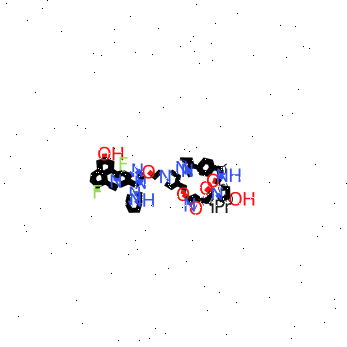 C#Cc1c(F)ccc2cc(O)cc(-c3ncc4c(N5CC6CCC(C5)N6)nc(OCCN5CCC(COc6cc([C@@H](C(=O)N7C[C@H](O)C[C@H]7C(=O)N[C@@H](C)c7ccc(-c8ccnn8C)cc7)C(C)C)on6)CC5)nc4c3F)c12